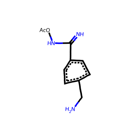 CC(=O)ONC(=N)c1ccc(CN)cc1